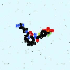 O=C(N[C@H]1C[C@H]2C[C@H]2C[C@H]2CC[C@@H](C(=O)N3CC(c4c[nH]cn4)C3)N2C1=O)c1cc2cc(C(F)(F)P(=O)(O)O)ccc2s1